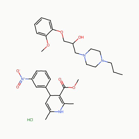 CCCN1CCN(CC(O)COc2ccccc2OC)CC1.COC(=O)C1=C(C)NC(C)=CC1c1cccc([N+](=O)[O-])c1.Cl